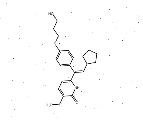 CCc1ccc(C(=CC2CCCC2)c2ccc(SCCCO)cc2)[nH]c1=O